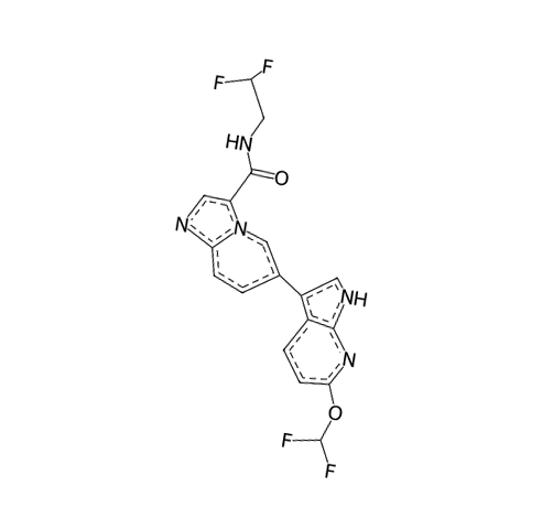 O=C(NCC(F)F)c1cnc2ccc(-c3c[nH]c4nc(OC(F)F)ccc34)cn12